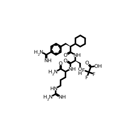 N=C(N)NCCCC(NC(=O)[C@H](CO)NC(=O)[C@@H](Cc1ccc(C(=N)N)cc1)C1CCCCC1)C(N)=O.O=C(O)C(F)(F)F